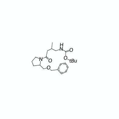 CC(CNC(=O)OC(C)(C)C)CC(=O)N1CCCC1COCc1ccccc1